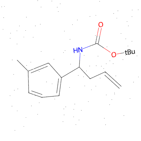 C=CCC(NC(=O)OC(C)(C)C)c1cccc(C)c1